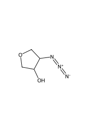 [N-]=[N+]=NC1COCC1O